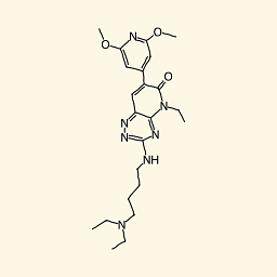 CCN(CC)CCCCNc1nnc2cc(-c3cc(OC)nc(OC)c3)c(=O)n(CC)c2n1